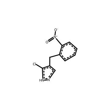 O=[N+]([O-])c1ccccc1Cc1cn[nH]c1Cl